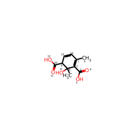 CC1=C(C(=O)O)C(C)(O)C(C(=O)O)C=C1